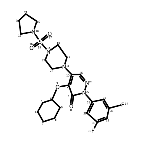 O=c1c(OC2CCCCC2)c(N2CCN(S(=O)(=O)N3CCCC3)CC2)cnn1-c1cc(F)cc(F)c1